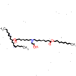 CCC/C=C/CCC(CC/C=C\CCCC)OC(=O)CCCCCCCN(CCO)CCCCCCCC(=O)OCCCCCCCCC